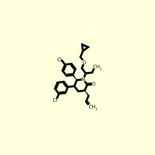 C=CC[C@H]1CC(c2cccc(Cl)c2)[C@@H](c2ccc(Cl)cc2)N(C(CC)COCC2CC2)C1=O